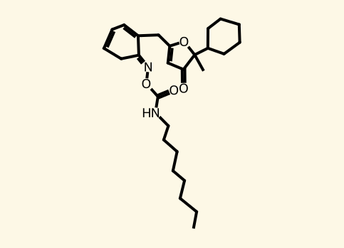 CCCCCCCCNC(=O)ON=C1CC=CC=C1CC1=CC(=O)C(C)(C2CCCCC2)O1